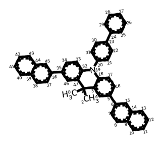 CC1(C)c2cc(-c3ccc4ccccc4c3)ccc2N(c2ccc(-c3ccccc3)cc2)c2ccc(-c3ccc4ccccc4c3)cc21